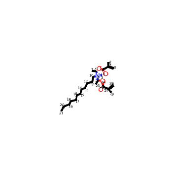 C=C(C)C(=O)OC(C)[N+](C)(CCCCCCCCCCCC)C(C)OC(=O)C(=C)C